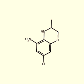 CC1COc2cc(Cl)cc([N+](=O)[O-])c2N1